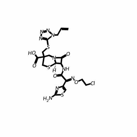 C=CCn1nnnc1SCC1(C(=O)O)CS[C@@H]2C(NC(=O)C(=NOCCCl)c3csc(N)n3)C(=O)N2C1